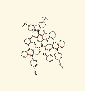 CC(C)(C)c1ccc2c(c1)c1cc(C(C)(C)C)ccc1n2-c1cc2c3c(c1)N(c1c(-c4ccccc4)cccc1-c1ccccc1)c1cc(N(c4ccccc4)c4ccc(C#N)cc4)c4c(oc5ccccc54)c1B3c1ccc(N(c3ccccc3)c3ccc(C#N)cc3)cc1N2c1c(-c2ccccc2)cccc1-c1ccccc1